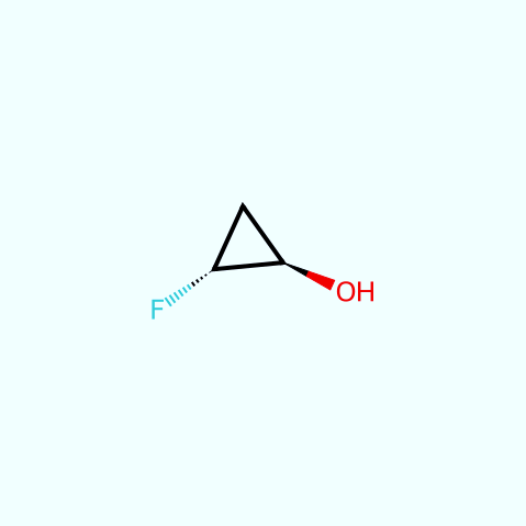 O[C@@H]1C[C@H]1F